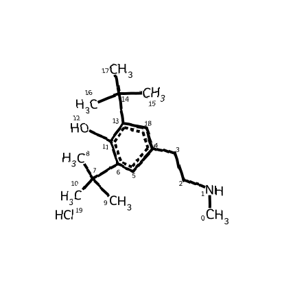 CNCCc1cc(C(C)(C)C)c(O)c(C(C)(C)C)c1.Cl